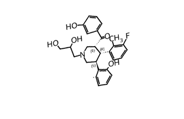 Cc1c(F)cccc1[C@H]1[C@@H](C(=O)c2cccc(O)c2)CN(CC(O)CO)C[C@@H]1c1[c]cccc1O